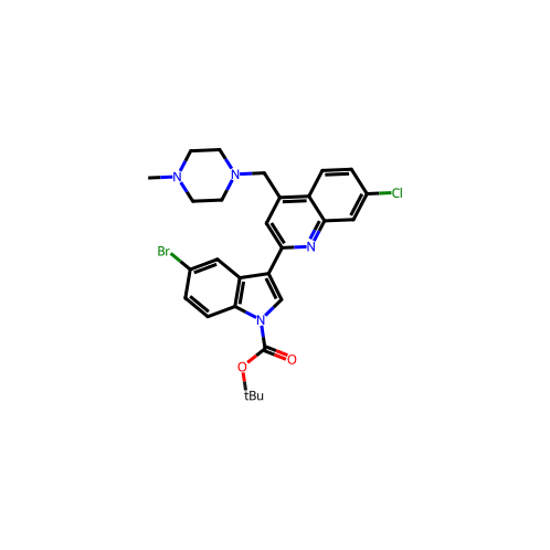 CN1CCN(Cc2cc(-c3cn(C(=O)OC(C)(C)C)c4ccc(Br)cc34)nc3cc(Cl)ccc23)CC1